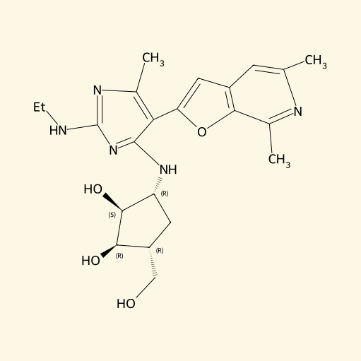 CCNc1nc(C)c(-c2cc3cc(C)nc(C)c3o2)c(N[C@@H]2C[C@H](CO)[C@@H](O)[C@H]2O)n1